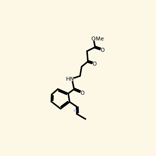 C/C=C/c1ccccc1C(=O)NCCC(=O)CC(=O)OC